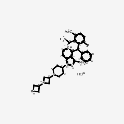 COc1ccc(F)c(C(c2ccccc2)c2nccc3c2c(N)nn3C2CCN(C3CN(C4CNC4)C3)CC2)c1C(N)=O.Cl